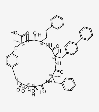 O=C(O)[C@@H]1Cc2ccc(cc2)NC(=O)[C@H](O)[C@@H](O)C(=O)N[C@H](Cc2ccccc2)C(=O)N[C@@H](Cc2ccc(-c3ccccc3)cc2)C(=O)N[C@H](CCc2ccccc2)C(=O)N1